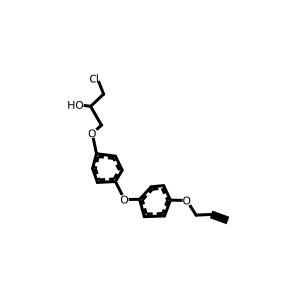 C#CCOc1ccc(Oc2ccc(OCC(O)CCl)cc2)cc1